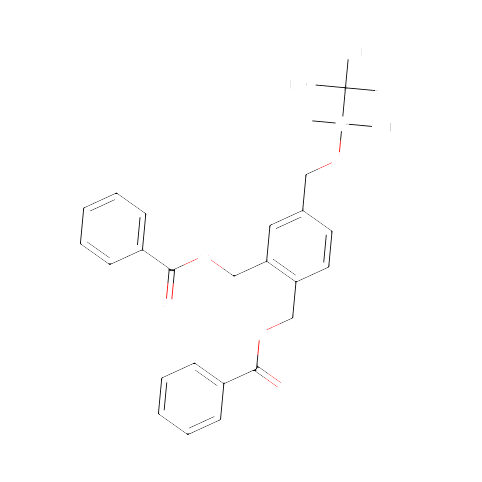 CC(C)(C)[Si](C)(C)OCc1ccc(COC(=O)c2ccccc2)c(COC(=O)c2ccccc2)c1